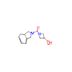 O=C(N1Cc2ccccc2C1)N1CC(O)C1